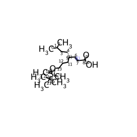 CC(C)CC[C@H](/C=C/C(=O)O)CCCO[Si](C)(C)C(C)(C)C